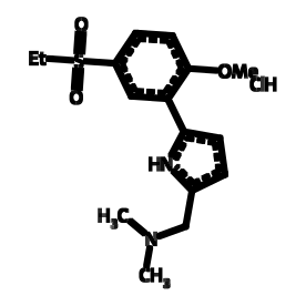 CCS(=O)(=O)c1ccc(OC)c(-c2ccc(CN(C)C)[nH]2)c1.Cl